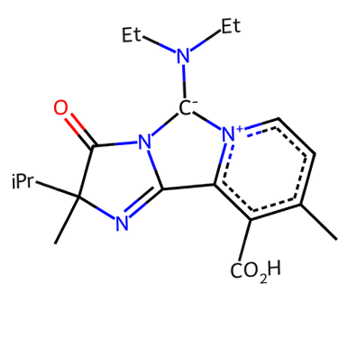 CCN(CC)[C-]1N2C(=O)C(C)(C(C)C)N=C2c2c(C(=O)O)c(C)cc[n+]21